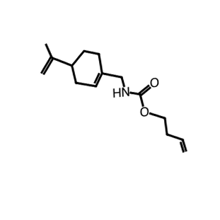 C=CCCOC(=O)NCC1=CCC(C(=C)C)CC1